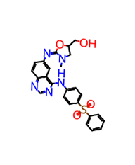 CN1CC(CO)OC1=Nc1ccc2ncnc(Nc3ccc(S(=O)(=O)c4ccccc4)cc3)c2c1